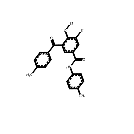 CCOc1c(Br)cc(C(=O)Nc2ccc(C)cc2)cc1C(=O)c1ccc(C)cc1